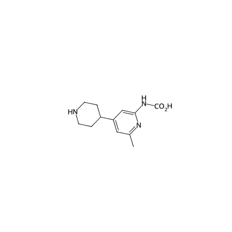 Cc1cc(C2CCNCC2)cc(NC(=O)O)n1